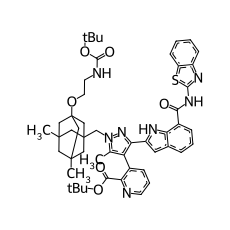 Cc1c(-c2cccnc2C(=O)OC(C)(C)C)c(-c2cc3cccc(C(=O)Nc4nc5ccccc5s4)c3[nH]2)nn1CC12CC3(C)CC(C)(C1)CC(OCCNC(=O)OC(C)(C)C)(C3)C2